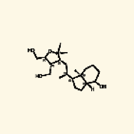 C[C@@H](C[C@H]1[C@H](CO)[C@@H](CO)O[N+]1(C)C)[C@@H]1CC[C@H]2C(O)CCC[C@@]21C